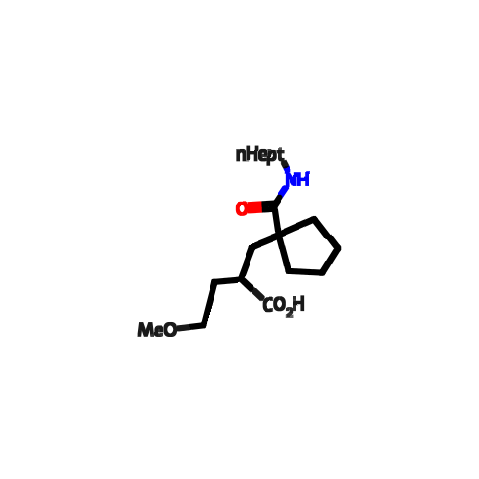 CCCCCCCNC(=O)C1(CC(CCOC)C(=O)O)CCCC1